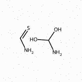 NC(O)O.NC=S